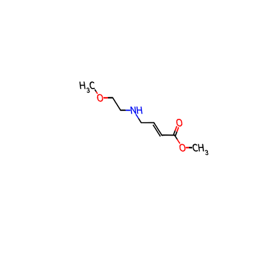 COCCNC/C=C/C(=O)OC